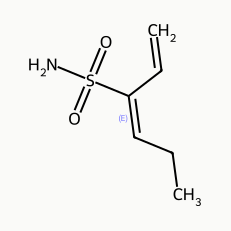 C=C/C(=C\CC)S(N)(=O)=O